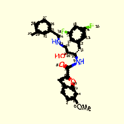 COc1ccc2cc(C(=O)N[C@@H](Cc3cc(F)cc(F)c3)[C@H](O)CNCc3cccc(C)c3)oc2c1